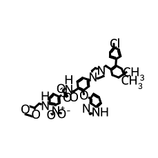 CC1(C)CCC(CN2CCN(c3ccc(C(=O)NS(=O)(=O)c4ccc(NCC5COCCO5)c([N+](=O)[O-])c4)c(Oc4cccc5[nH]cnc45)c3)CC2)=C(c2ccc(Cl)cc2)C1